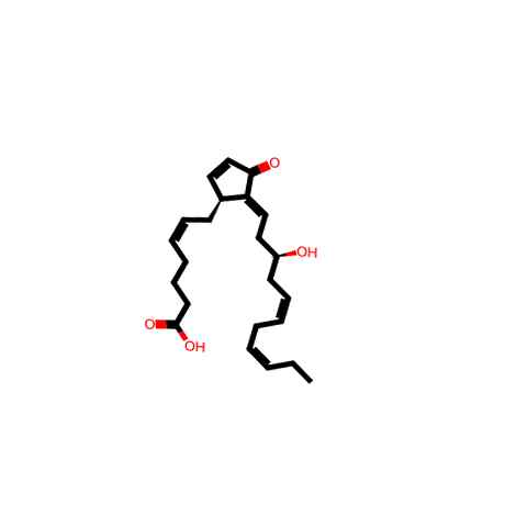 CC/C=C\C/C=C\C[C@H](O)C/C=C1/C(=O)C=C[C@@H]1C/C=C\CCCC(=O)O